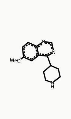 COc1ccc2ncnc(C3CCNCC3)c2c1